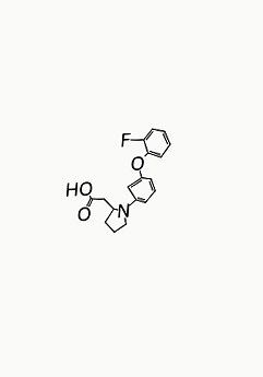 O=C(O)CC1CCCN1c1cccc(Oc2ccccc2F)c1